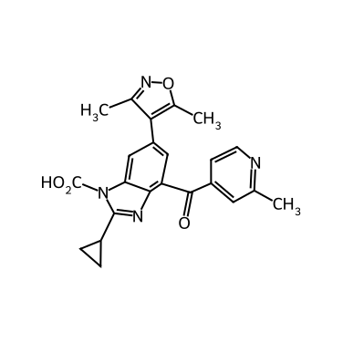 Cc1cc(C(=O)c2cc(-c3c(C)noc3C)cc3c2nc(C2CC2)n3C(=O)O)ccn1